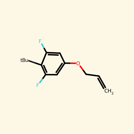 C=CCOc1cc(F)c(C(C)(C)C)c(F)c1